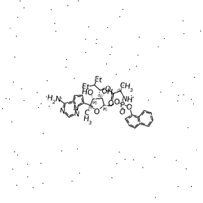 CCC(CC)COC(=O)[C@H](C)NP(=O)(OC[C@H]1O[C@@](C)(c2ccc3c(N)ncnn23)[C@H](O)[C@@H]1O)Oc1cccc2ccccc12